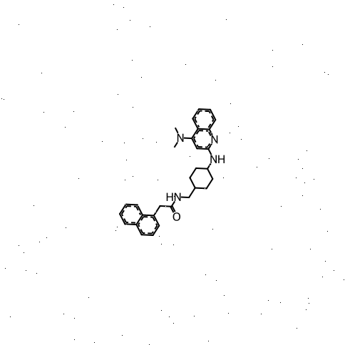 CN(C)c1cc(NC2CCC(CNC(=O)Cc3cccc4ccccc34)CC2)nc2ccccc12